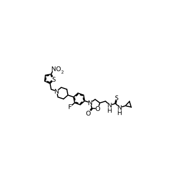 O=C1OC(CNC(=S)NC2CC2)CN1c1ccc(C2CCN(Cc3ccc([N+](=O)[O-])s3)CC2)c(F)c1